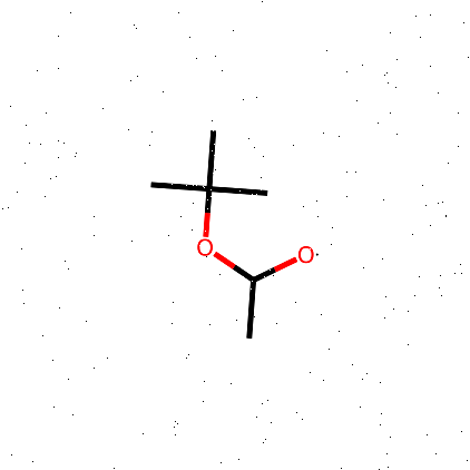 CC([O])OC(C)(C)C